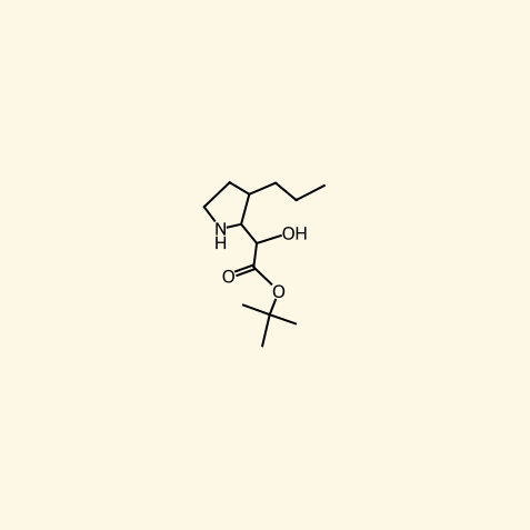 CCCC1CCNC1C(O)C(=O)OC(C)(C)C